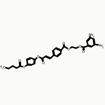 CCCCC(=O)Oc1ccc(OC(=O)C=Cc2ccc(C(=O)OCCOC(=O)c3cc(N)cc(N)c3)cc2)cc1